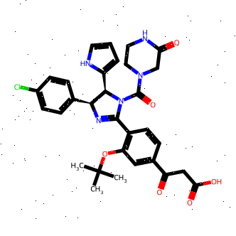 CC(C)(C)Oc1cc(C(=O)CC(=O)O)ccc1C1=N[C@@H](c2ccc(Cl)cc2)[C@@H](c2ccc[nH]2)N1C(=O)N1CCNC(=O)C1